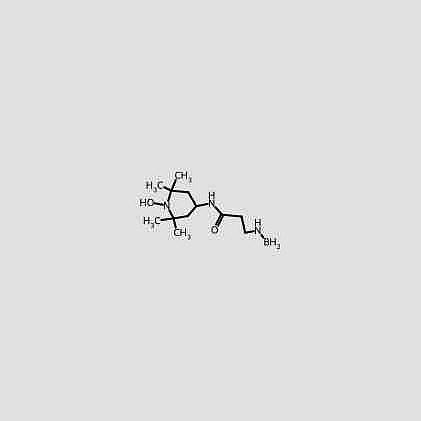 BNCCC(=O)NC1CC(C)(C)N(O)C(C)(C)C1